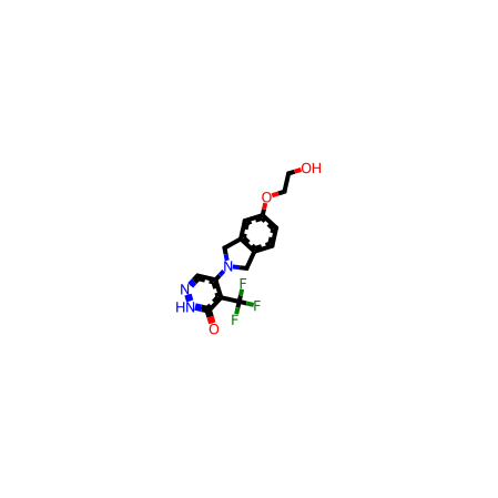 O=c1[nH]ncc(N2Cc3ccc(OCCO)cc3C2)c1C(F)(F)F